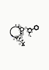 COc1nc(O[C@@H]2C[C@H]3C(=O)N[C@]4(C(=O)NS(=O)(=O)C5(C)CC5)C[C@H]4/C=C\CCCCN(C)C(=O)[C@@H]3C2)cc(-c2ccccc2)n1